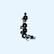 Cn1c2c(c3ccc(-n4ccc(OCc5ccc(F)cc5F)cc4=O)cc31)CN(C(=O)OC(C)(C)C)CCC2